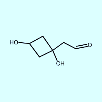 O=CCC1(O)CC(O)C1